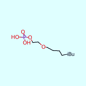 CCC(C)CCCCOCCOP(=O)(O)O